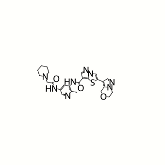 Cc1ncc(NC(=O)CN2CCCCC2)cc1NC(=O)c1cnn2cc(-c3cnn4c3COCC4)sc12